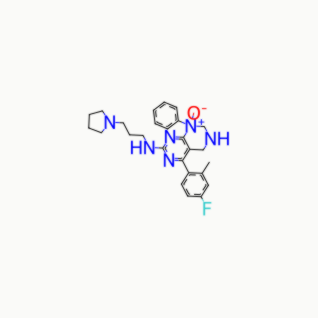 Cc1cc(F)ccc1-c1nc(NCCCN2CCCC2)nc2c1CNC[N+]2([O-])c1ccccc1